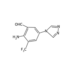 Nc1c(C=O)cc(-n2cnnc2)cc1C(F)(F)F